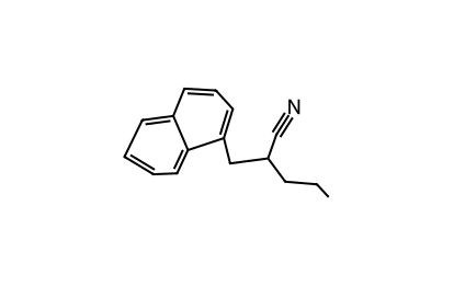 CCCC(C#N)Cc1cccc2ccccc12